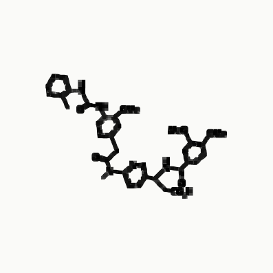 COc1cc(CC(=O)N(C)c2ccc(C(CC(=O)O)NC(=O)c3ccc(OC)c(OC)c3)cn2)ccc1NC(=O)Nc1ccccc1C